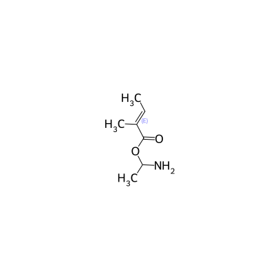 C/C=C(\C)C(=O)OC(C)N